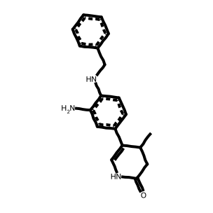 CC1CC(=O)NC=C1c1ccc(NCc2ccccc2)c(N)c1